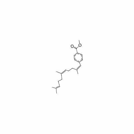 COC(=O)c1ccc(C=C(C)CCC=C(C)CCC=C(C)C)cc1